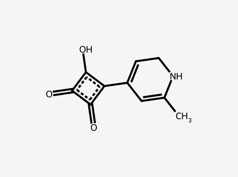 CC1=CC(c2c(O)c(=O)c2=O)=CCN1